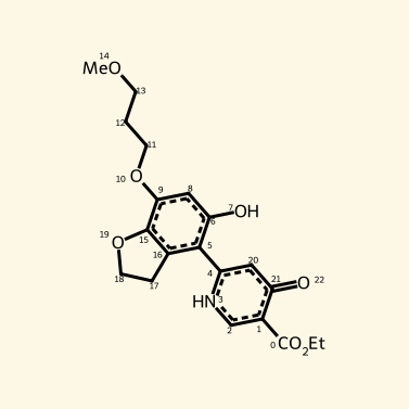 CCOC(=O)c1c[nH]c(-c2c(O)cc(OCCCOC)c3c2CCO3)cc1=O